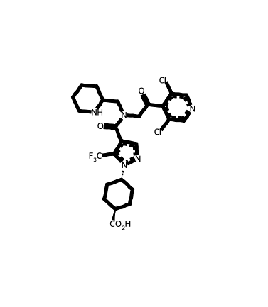 O=C(CN(CC1CCCCN1)C(=O)c1cnn([C@H]2CC[C@H](C(=O)O)CC2)c1C(F)(F)F)c1c(Cl)cncc1Cl